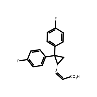 O=C(O)/C=C\[C@H]1CC1(c1ccc(F)cc1)c1ccc(F)cc1